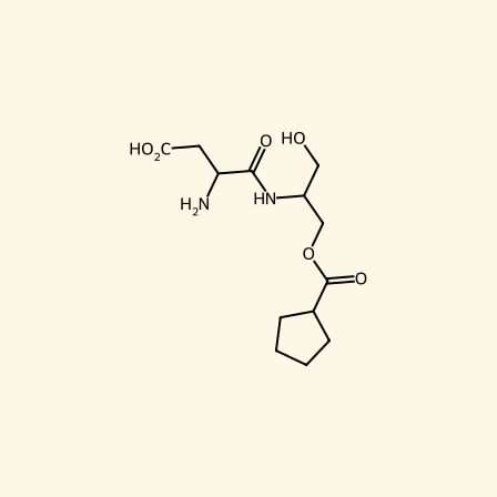 NC(CC(=O)O)C(=O)NC(CO)COC(=O)C1CCCC1